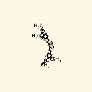 C=CCOOc1ccc(CCC(=O)CC(=O)CCc2ccc(OOCC=C)c(OC)c2)cc1OC